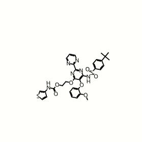 COc1ccccc1Oc1c(NS(=O)(=O)c2ccc(C(C)(C)C)cc2)nc(-c2ncccn2)nc1OCCOC(=O)Nc1ccsc1